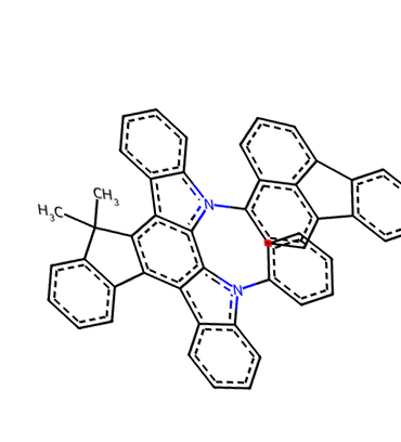 CC1(C)c2ccccc2-c2c1c1c3ccccc3n(-c3ccc4c5c(cccc35)-c3ccccc3-4)c1c1c2c2ccccc2n1-c1ccccc1